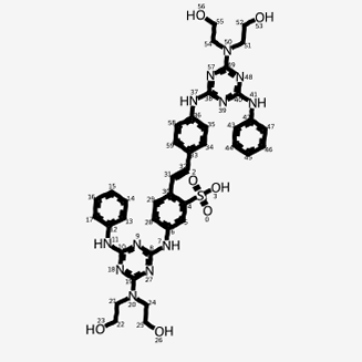 O=S(=O)(O)c1cc(Nc2nc(Nc3ccccc3)nc(N(CCO)CCO)n2)ccc1/C=C/c1ccc(Nc2nc(Nc3ccccc3)nc(N(CCO)CCO)n2)cc1